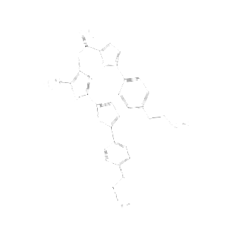 C=C(Sc1nc(-c2ccc(-c3ccc(CCCCCCCCCCCC)cc3)s2)sc1N)c1ccc(-c2ccc(CCCCCCCCCCCC)cc2)s1